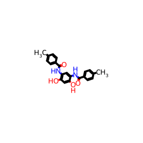 Cc1ccc(C(=O)Nc2cc(NC(=O)c3ccc(C)cc3)c(O)cc2O)cc1